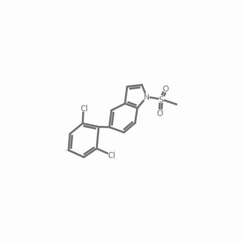 CS(=O)(=O)n1ccc2cc(-c3c(Cl)c[c]cc3Cl)ccc21